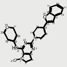 [O-][S+]1CCc2nc(N3CCC(c4cc5ccccc5o4)CC3)nc(NC3CCOCC3)c21